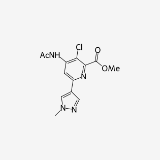 COC(=O)c1nc(-c2cnn(C)c2)cc(NC(C)=O)c1Cl